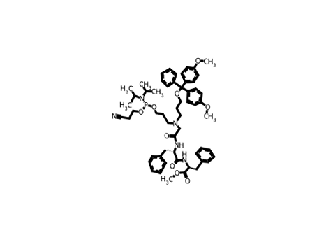 COC(=O)[C@H](Cc1ccccc1)NC(=O)[C@H](Cc1ccccc1)NC(=O)CN(CCCOP(OCCC#N)N(C(C)C)C(C)C)CCCOC(c1ccccc1)(c1ccc(OC)cc1)c1ccc(OC)cc1